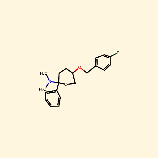 CN(C)C1(c2ccccc2)CCC(OCc2ccc(F)cc2)CC1